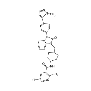 Cc1ncc(Cl)cc1C(=O)NC1CCC(Cn2c(=O)n(-c3ccc(-c4ccnn4C)cc3)c3ccccc32)CC1